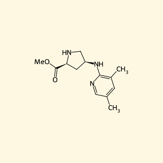 COC(=O)[C@@H]1C[C@H](Nc2ncc(C)cc2C)CN1